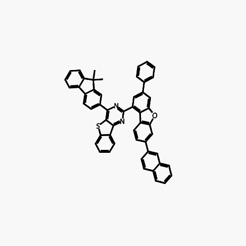 CC1(C)c2ccccc2-c2ccc(-c3nc(-c4cc(-c5ccccc5)cc5oc6cc(-c7ccc8ccccc8c7)ccc6c45)nc4c3sc3ccccc34)cc21